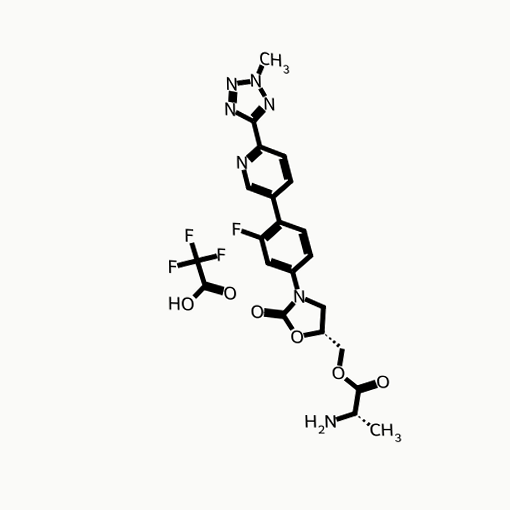 C[C@H](N)C(=O)OC[C@H]1CN(c2ccc(-c3ccc(-c4nnn(C)n4)nc3)c(F)c2)C(=O)O1.O=C(O)C(F)(F)F